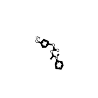 CC(C)Oc1ccc(OC(=O)OC(C)N(C)c2ccccc2)cc1